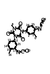 Cc1cc(-n2c(=O)n(C)c(=O)n(-c3ccc(C)c(N=C=O)c3)c2=O)ccc1N=C=O